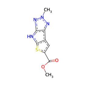 COC(=O)c1cc2c([nH]c3nn(C)nc32)s1